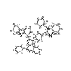 c1ccc(-c2nc3ccccc3c3c(-c4ccc(-c5nc6ccccc6n5-c5ccccc5)cc4)c(-c4cccc5c4sc4ccccc45)sc23)cc1